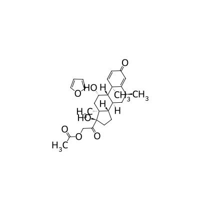 CC(=O)OCC(=O)[C@@]1(O)CC[C@H]2[C@@H]3C[C@H](C)C4=CC(=O)C=C[C@]4(C)[C@H]3[C@@H](O)C[C@@]21C.c1ccoc1